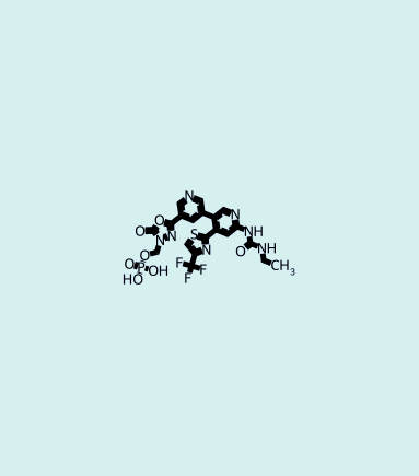 CCNC(=O)Nc1cc(-c2nc(C(F)(F)F)cs2)c(-c2cncc(-c3nn(COP(=O)(O)O)c(=O)o3)c2)cn1